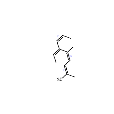 CC=C(/C=C\C)/C(C)=C\C=C(/C)C#N